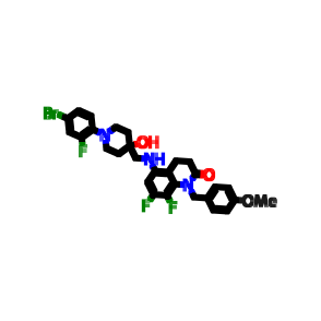 COc1ccc(CN2C(=O)CCc3c(NCC4(O)CCN(c5ccc(Br)cc5F)CC4)cc(F)c(F)c32)cc1